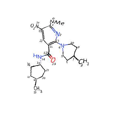 CNc1nc(N2CCC(C)CC2)c(C(=O)N[C@H]2CC[C@H](C)CC2)cc1[N+](=O)[O-]